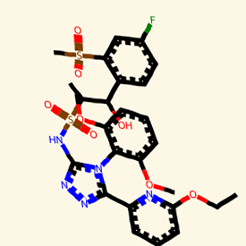 CCOc1cccc(-c2nnc(NS(=O)(=O)C(C)C(O)c3ccc(F)cc3S(C)(=O)=O)n2-c2c(OC)cccc2OC)n1